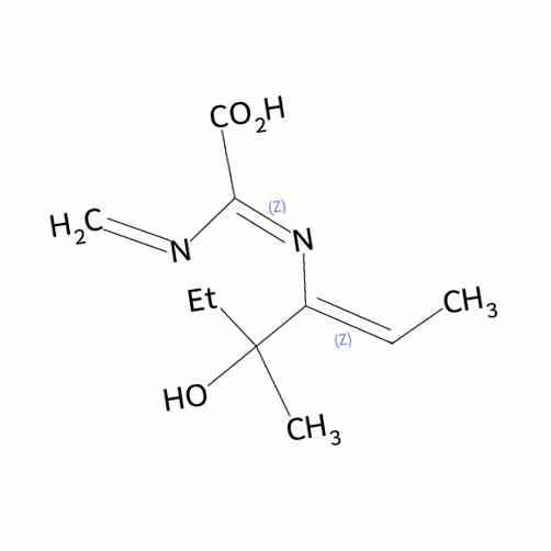 C=N/C(=N\C(=C/C)C(C)(O)CC)C(=O)O